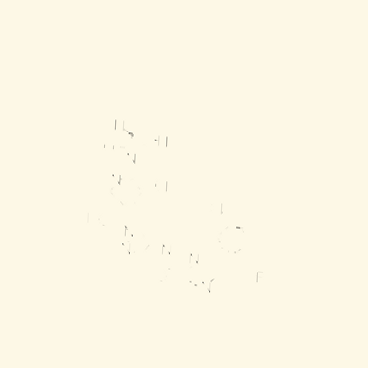 Cc1cc(C(C)n2cc(NC(=O)c3cncc(-c4c(C(F)F)ccc(Cl)c4F)n3)cn2)cnc1N1C[C@H]2CC[C@H]2C1=O